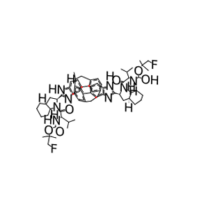 CC(C)[C@H](NC(=O)OC(C)(C)CF)C(=O)N1[C@H](c2nc3cc(-c4cc5ccc4C[C@@H](C)c4ccc(c(-c6ccc7[nH]c([C@@H]8C[C@@H]9CCCC[C@@H]9N8C(=O)[C@@H](NC(O)OC(C)(C)CF)C(C)C)nc7c6)c4)CC5)ccc3[nH]2)C[C@@H]2CCCC[C@@H]21